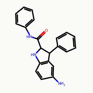 Nc1ccc2c(c1)C(c1ccccc1)C(C(=O)Nc1ccccc1)N2